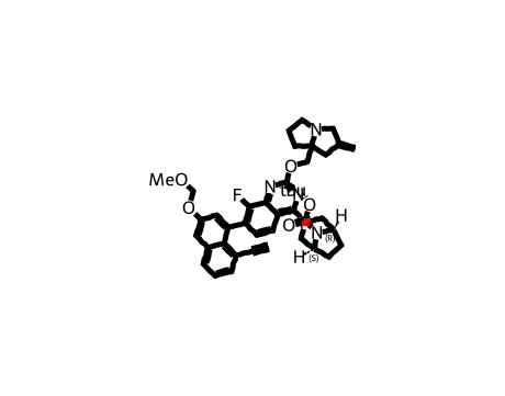 C#Cc1cccc2cc(OCOC)cc(-c3ccc4c(N5C[C@H]6CC[C@@H](C5)N6C(=O)OC(C)(C)C)nc(OCC56CCCN5CC(=C)C6)nc4c3F)c12